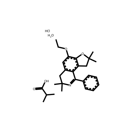 CC(C)C(=O)O.CCOc1cc2c(c3c1OC(C)(C)C3)C(c1ccccc1)=NC(C)(C)C2.Cl.O